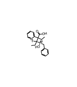 CCC(C(=O)O)(c1ccccn1)C(F)(CC)P(=O)(O)Cc1ccccc1